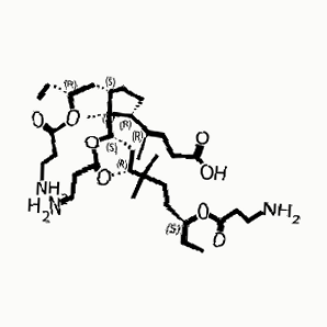 CC[C@H](C[C@@H]1CC[C@H]([C@H](C)CCC(=O)O)[C@@]1(C)[C@H](C[C@@H](C)C(C)(C)CC[C@H](CC)OC(=O)CCN)OC(=O)CCN)OC(=O)CCN